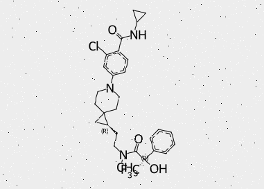 CN(CC[C@H]1CC12CCN(c1ccc(C(=O)NC3CC3)c(Cl)c1)CC2)C(=O)[C@](O)(c1ccccc1)C(F)(F)F